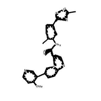 COc1ccncc1-c1ccc2ncc(C(=O)Nc3cc(-c4noc(C)n4)ccc3C)n2c1